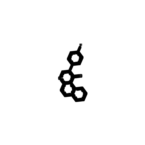 O=c1c(-c2ccc(F)cc2)coc2ccc3ccccc3c12